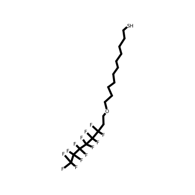 FC(F)(F)C(F)(F)C(F)(F)C(F)(F)C(F)(F)C(F)(F)CCOCCCCCCCCCCCS